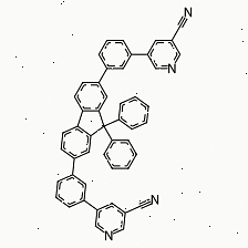 N#Cc1cncc(-c2cccc(-c3ccc4c(c3)C(c3ccccc3)(c3ccccc3)c3cc(-c5cccc(-c6cncc(C#N)c6)c5)ccc3-4)c2)c1